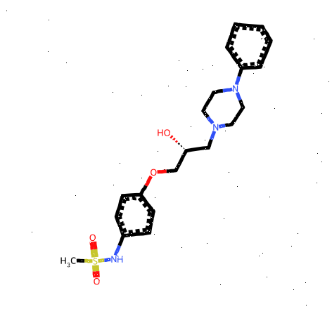 CS(=O)(=O)Nc1ccc(OC[C@H](O)CN2CCN(c3ccccc3)CC2)cc1